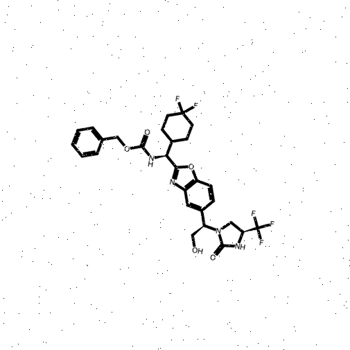 O=C(N[C@H](c1nc2cc([C@H](CO)N3C[C@@H](C(F)(F)F)NC3=O)ccc2o1)C1CCC(F)(F)CC1)OCc1ccccc1